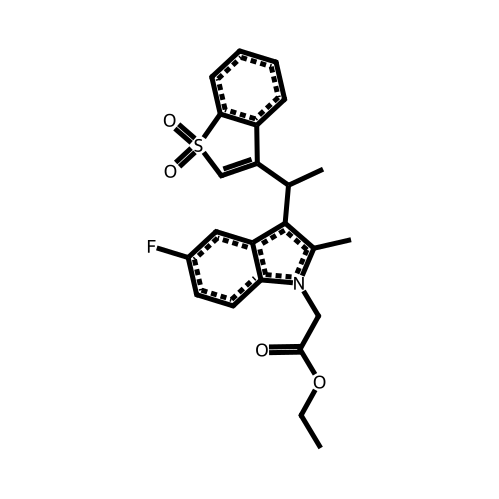 CCOC(=O)Cn1c(C)c(C(C)C2=CS(=O)(=O)c3ccccc32)c2cc(F)ccc21